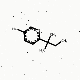 CCC(C)(C)c1ccc(O)cn1